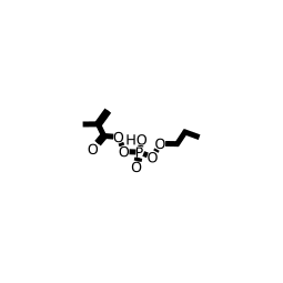 C=C(C)C(=O)OOP(=O)(O)OOCCC